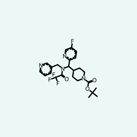 CC(C)(C)OC(=O)N1CCC(C(c2ccc(F)cn2)N(Cc2cccnc2)C(=O)C(F)(F)F)CC1